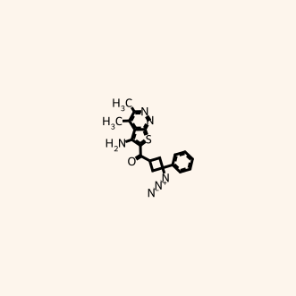 Cc1nnc2sc(C(=O)C3CC(N=[N+]=[N-])(c4ccccc4)C3)c(N)c2c1C